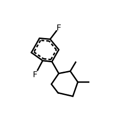 CC1CCCC(c2cc(F)ccc2F)C1C